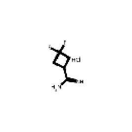 Cl.N=C(N)C1CC(F)(F)C1